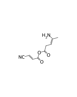 CC(N)=CCC(=O)OC(=O)C=CC#N